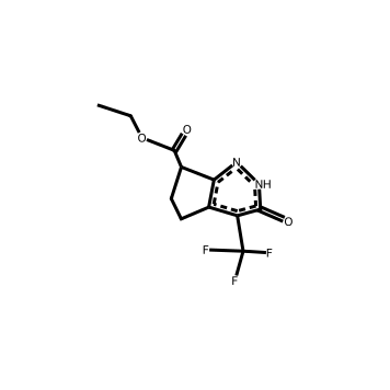 CCOC(=O)C1CCc2c1n[nH]c(=O)c2C(F)(F)F